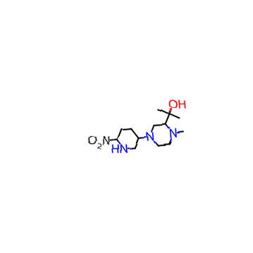 CN1CCN(C2CCC([N+](=O)[O-])NC2)CC1C(C)(C)O